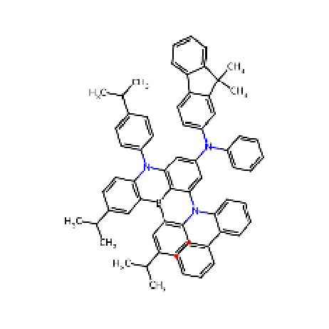 CC(C)c1ccc(N2c3ccc(C(C)C)cc3B3c4cc(C(C)C)ccc4N(c4ccccc4-c4ccccc4)c4cc(N(c5ccccc5)c5ccc6c(c5)C(C)(C)c5ccccc5-6)cc2c43)cc1